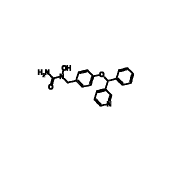 NC(=O)N(O)Cc1ccc(OC(c2ccccc2)c2cccnc2)cc1